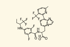 CCC(Nc1cc(F)c(C(=O)NC(Cc2ccc(-c3nc(C)ccc3C(F)(F)F)c3nccn23)C(=O)O)c(F)c1)C(F)(F)F